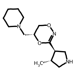 C[C@H]1CNC[C@@H]1C1=NOC[C@@H](CN2CCCCC2)O1